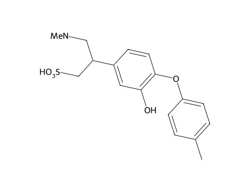 CNCC(CS(=O)(=O)O)c1ccc(Oc2ccc(C)cc2)c(O)c1